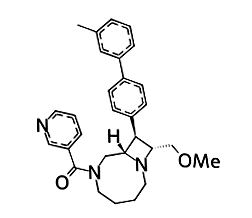 COC[C@H]1[C@H](c2ccc(-c3cccc(C)c3)cc2)[C@H]2CN(C(=O)c3cccnc3)CCCCN21